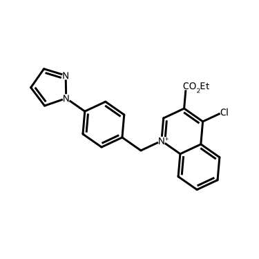 CCOC(=O)c1c[n+](Cc2ccc(-n3cccn3)cc2)c2ccccc2c1Cl